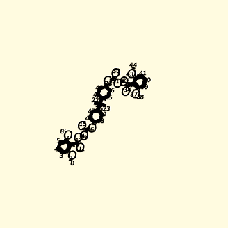 COc1cccc(OC)c1C(=O)OOC(=O)OC1CCC(C(C)(C)C2CCC(OC(=O)OOC(=O)c3c(OC)cccc3OC)CC2)CC1